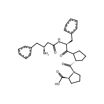 N[C@H](CC(=O)N[C@@H](Cc1ccccc1)C(=O)C1CCC[C@@H]1C(=O)N1CCC[C@H]1C(=O)O)Cc1ccccc1